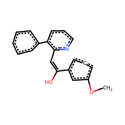 COc1cccc(/C(O)=C\c2ncccc2-c2ccccc2)c1